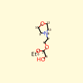 CCOC(CO)OCCN1CCOCC1